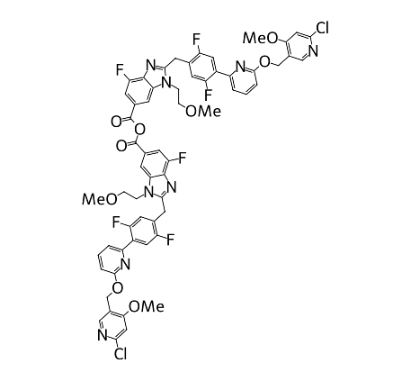 COCCn1c(Cc2cc(F)c(-c3cccc(OCc4cnc(Cl)cc4OC)n3)cc2F)nc2c(F)cc(C(=O)OC(=O)c3cc(F)c4nc(Cc5cc(F)c(-c6cccc(OCc7cnc(Cl)cc7OC)n6)cc5F)n(CCOC)c4c3)cc21